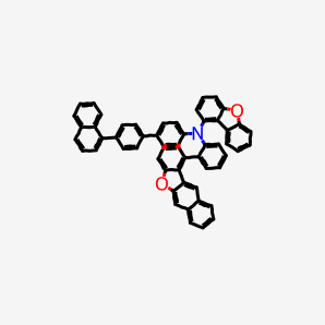 c1ccc(N(c2ccc(-c3ccc(-c4cccc5ccccc45)cc3)cc2)c2cccc3oc4ccccc4c23)c(-c2cccc3oc4cc5ccccc5cc4c23)c1